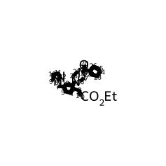 CCOC(=O)/C=C/c1ccc(Cn2cccn2)cc1N1CCN(C(=O)c2ccccc2)CC1